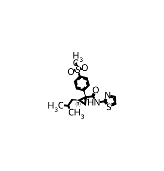 CC(C)C[C@@H]1C[C@]1(C(=O)Nc1nccs1)c1ccc(S(C)(=O)=O)cc1